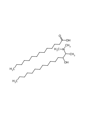 CCCCCCCCCCCCC(O)C(C)N(C)C.CCCCCCCCCCCCCC(=O)O